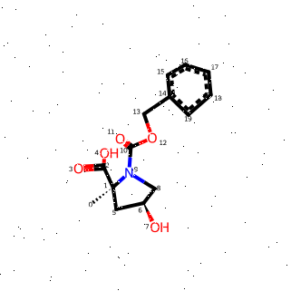 C[C@@]1(C(=O)O)C[C@H](O)CN1C(=O)OCc1ccccc1